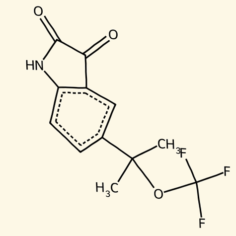 CC(C)(OC(F)(F)F)c1ccc2c(c1)C(=O)C(=O)N2